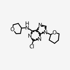 Clc1nc(NC2CCOCC2)c2ncn(C3CCCCO3)c2n1